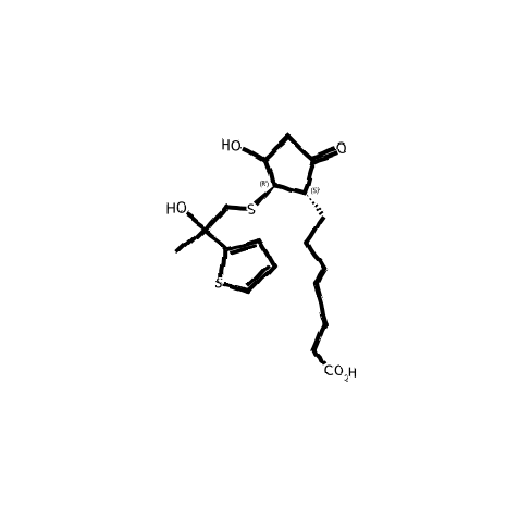 CC(O)(CS[C@H]1C(O)CC(=O)[C@@H]1CCCCCCC(=O)O)c1cccs1